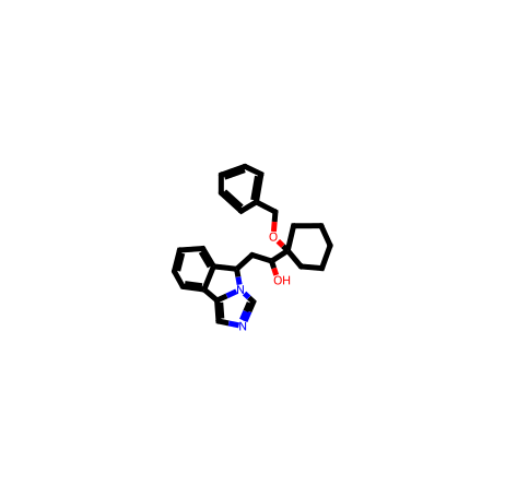 OC(CC1c2ccccc2-c2cncn21)C1(OCc2ccccc2)CCCCC1